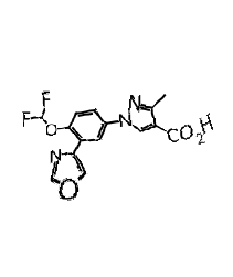 Cc1nn(-c2ccc(OC(F)F)c(-c3cocn3)c2)cc1C(=O)O